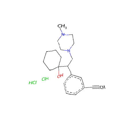 C#Cc1cccc(C(CN2CCN(C)CC2)C2(O)CCCCC2)c1.Cl.Cl